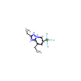 CCc1nc2c(CC)cc(C(F)(F)F)cn2n1